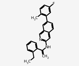 C=C(Nc1cc2ccc(-c3cc(F)ccc3C)cc2cn1)c1ccccc1CC